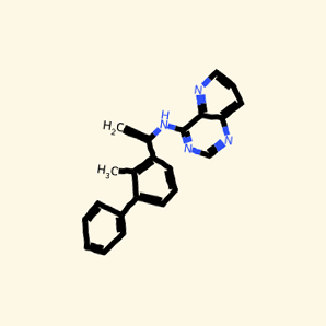 C=C(Nc1ncnc2cccnc12)c1cccc(-c2ccccc2)c1C